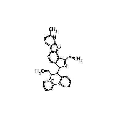 C=CC1=NC(C2c3ccccc3-c3cccc[n+]3C2C=C)c2ccc3c(oc4nc(C)ccc43)c21